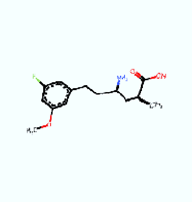 COc1cc(F)cc(CCC(N)CC(C)C(=O)O)c1